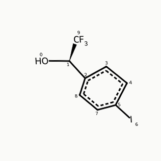 O[C@H](c1ccc(I)cc1)C(F)(F)F